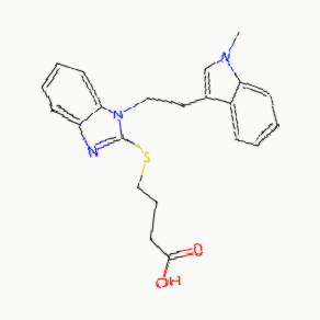 Cn1cc(CCn2c(SCCCC(=O)O)nc3ccccc32)c2ccccc21